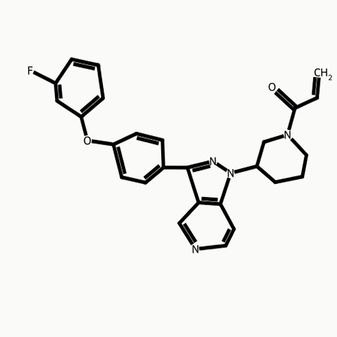 C=CC(=O)N1CCCC(n2nc(-c3ccc(Oc4cccc(F)c4)cc3)c3cnccc32)C1